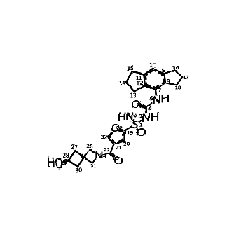 N=S(=O)(NC(=O)Nc1c2c(cc3c1CCC3)CCC2)c1cc(C(=O)N2CC3(CC(O)C3)C2)co1